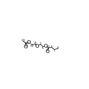 CCCC(=O)OCCOCCOC(C)=O